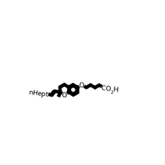 CCCCCCC/C=C/C1(C)CCc2cc(OCCCCC(=O)O)ccc2O1